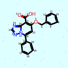 O=C(O)c1c(OCc2ccccc2)cc(-c2ccccc2)n2ncnc12